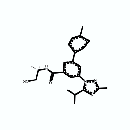 Cc1ccc(-c2cc(C(=O)N[C@@H](C)CO)cc(-n3nc(C)nc3C(C)C)c2)cc1